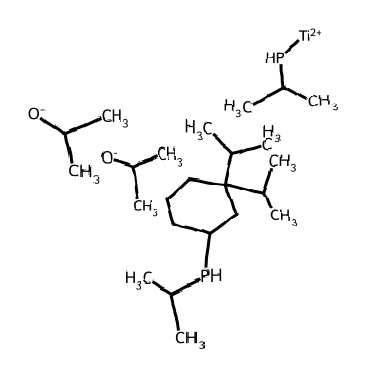 CC(C)PC1CCCC(C(C)C)(C(C)C)C1.CC(C)[O-].CC(C)[O-].CC(C)[PH][Ti+2]